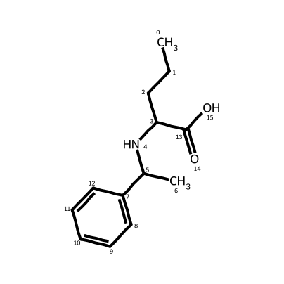 CCCC(NC(C)c1ccccc1)C(=O)O